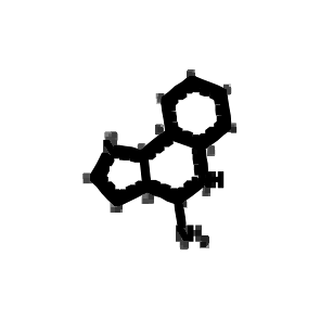 Nc1[nH]c2ccccc2c2nccc1-2